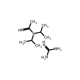 CC(=N)N(C(C)C)C(C)C.N=C(N)N